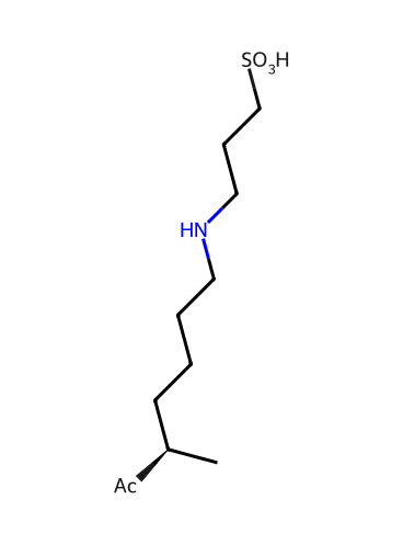 CC(=O)[C@H](C)CCCCNCCCS(=O)(=O)O